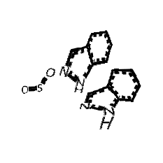 O=S=O.c1ccc2[nH]ncc2c1.c1ccc2[nH]ncc2c1